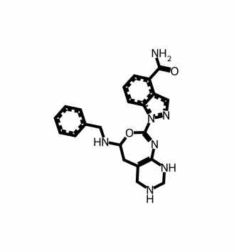 NC(=O)c1cccc2c1cnn2C1=NC2=C(CNCN2)CC(NCc2ccccc2)O1